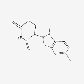 C=C1CCC(N2Cc3cc(C)ccc3C2C)C(=C)N1